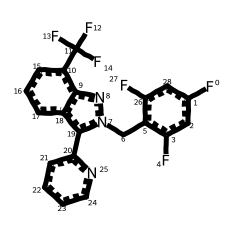 Fc1cc(F)c(Cn2nc3c(C(F)(F)F)cccc3c2-c2ccccn2)c(F)c1